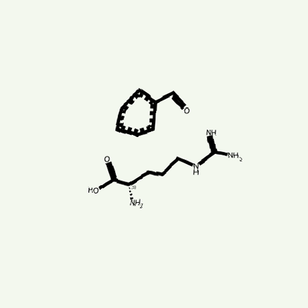 N=C(N)NCCC[C@H](N)C(=O)O.O=Cc1ccccc1